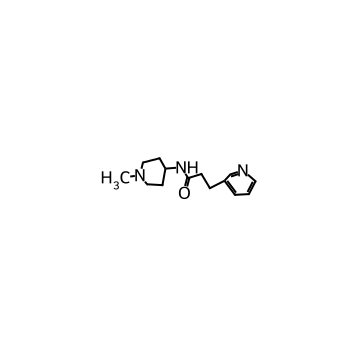 CN1CCC(NC(=O)CCc2cccnc2)CC1